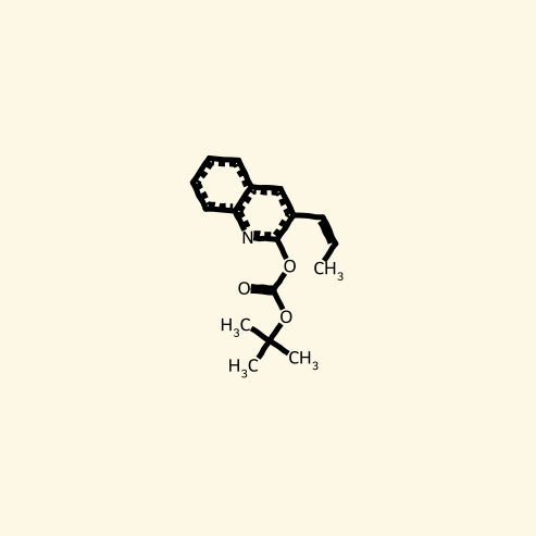 C/C=C\c1cc2ccccc2nc1OC(=O)OC(C)(C)C